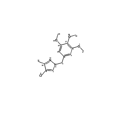 COc1cc(Cn2cc(Cl)c(C)n2)cc(OC)c1OC